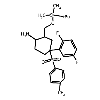 CC(C)(C)[Si](C)(C)OCC1CC(c2cc(F)ccc2F)(S(=O)(=O)c2ccc(C(F)(F)F)cc2)CCC1N